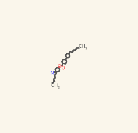 CCCCCCCC1CCC(C2CCC(C(=O)OC3CCC(C#N)(CCCCCCC)CC3)CC2)CC1